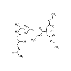 CC(=O)O.CC(=O)O.CC(=O)OCC(O)CO.CCOC(=O)CC(O)(CC(=O)OCC)C(=O)OCC